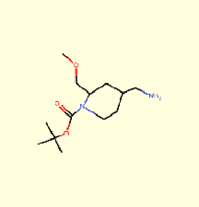 COCC1CC(CN)CCN1C(=O)OC(C)(C)C